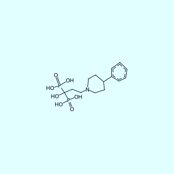 O=P(O)(O)C(O)(CCN1CCC(c2ccccc2)CC1)P(=O)(O)O